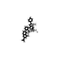 Cc1ccc(-c2cc3c(-c4cccc(-n5ccc6cc(C7CC7)cc(F)c6c5=O)c4CO)nc(N)nc3[nH]2)cc1